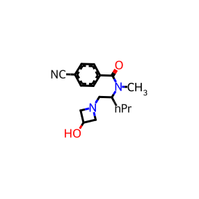 CCCC(CN1CC(O)C1)N(C)C(=O)c1ccc(C#N)cc1